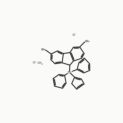 C.CC(C)(C)c1ccc2c(c1)-c1cc(C(C)(C)C)ccc1[CH]2[Zr+2]([C]1=CC=CC1)([c]1ccccc1)[c]1ccccc1.[Cl-].[Cl-]